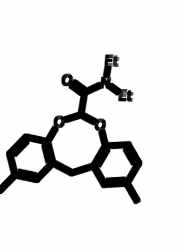 CCN(CC)C(=O)C1Oc2ccc(C)cc2Cc2cc(C)ccc2O1